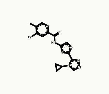 Cc1cnc(C(=O)Nc2csc(-c3nncn3C3CC3)n2)cc1Br